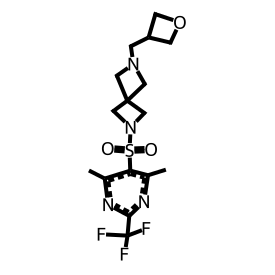 Cc1nc(C(F)(F)F)nc(C)c1S(=O)(=O)N1CC2(CN(CC3COC3)C2)C1